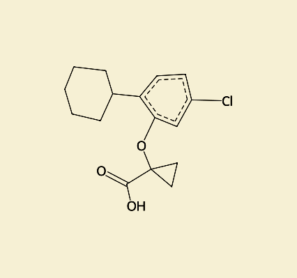 O=C(O)C1(Oc2cc(Cl)ccc2C2CCCCC2)CC1